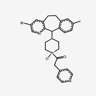 Cc1ccc2c(c1)CCc1cc(Br)cnc1C2N1CC[N+]([O-])(C(=O)Cc2ccncc2)CC1